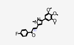 COc1cc(-c2cc(/C=C/C(=O)c3ccc(F)cc3)n(C)n2)cc(OC)c1OC